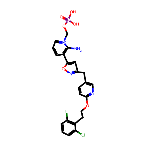 Nc1c(-c2cc(Cc3ccc(OCCc4c(F)cccc4Cl)nc3)no2)ccc[n+]1COP(=O)(O)O